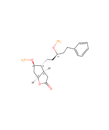 O=C1C[C@@H]2[C@@H](CC[C@H](CCc3ccccc3)OP)[C@H](OP)C[C@@H]2O1